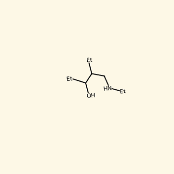 CCNCC(CC)C(O)CC